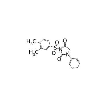 Cc1ccc(S(=O)(=O)N2C(=O)CN(c3ccccc3)C2=O)cc1C